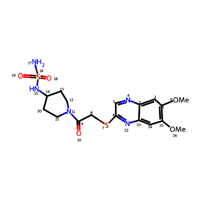 COc1cc2ncc(SCC(=O)N3CCC(NS(N)(=O)=O)CC3)nc2cc1OC